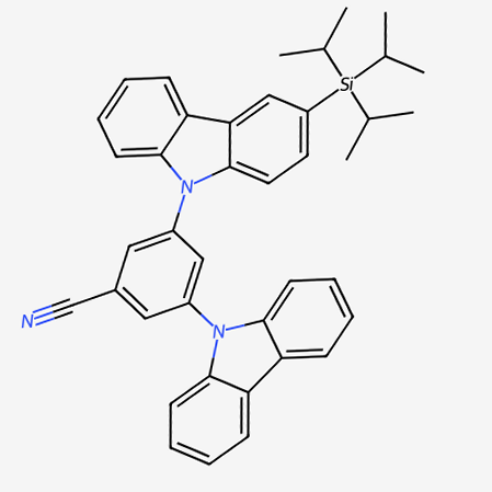 CC(C)[Si](c1ccc2c(c1)c1ccccc1n2-c1cc(C#N)cc(-n2c3ccccc3c3ccccc32)c1)(C(C)C)C(C)C